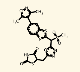 Cc1noc(C)c1-c1ccc2nc(C(c3nnc(CC4SC(=O)NC4=O)o3)S(C)(=O)=O)sc2c1